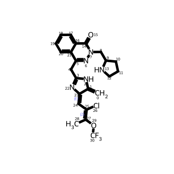 C=c1[nH]c(Cc2nn(CC3CCCN3)c(=O)c3ccccc23)n/c1=C/C(Cl)=C(\C)OC(F)(F)F